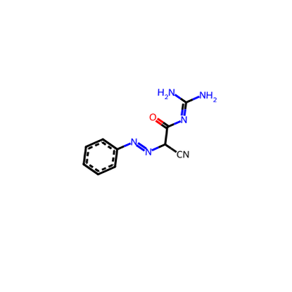 N#CC(N=Nc1ccccc1)C(=O)N=C(N)N